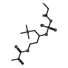 [CH2]CNOP(=O)([O-])OC(CCOC(=O)C(=C)C)C[N+](C)(C)C